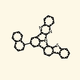 c1ccc2c(-c3cc4c5ccc6c7ccccc7sc6c5n5c6nc7ccccc7nc6c(c3)c45)cccc2c1